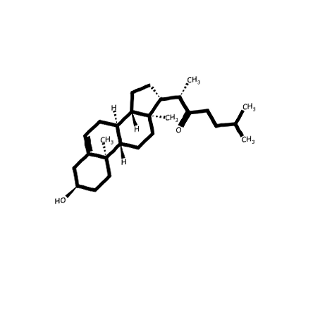 CC(C)CCC(=O)[C@@H](C)[C@H]1CC[C@H]2[C@@H]3CC=C4C[C@H](O)CC[C@]4(C)[C@H]3CC[C@]12C